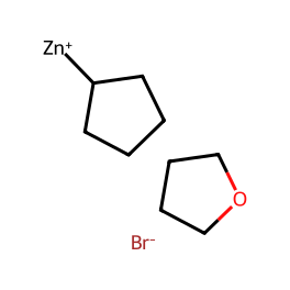 C1CCOC1.[Br-].[Zn+][CH]1CCCC1